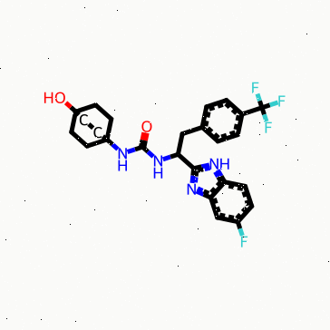 O=C(NC(Cc1ccc(C(F)(F)F)cc1)c1nc2cc(F)ccc2[nH]1)NC12CCC(O)(CC1)CC2